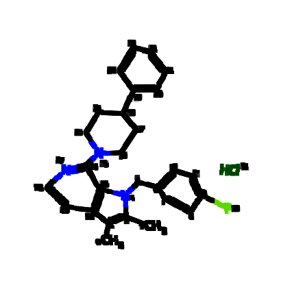 Cc1c(C)n(Cc2ccc(F)cc2)c2c(N3CCC(c4ccccc4)CC3)nccc12.Cl